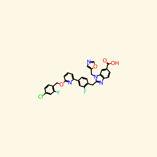 O=C(O)c1ccc2nc(Cc3ccc(-c4cccc(OCc5ccc(Cl)cc5F)n4)cc3F)n(Cc3cnco3)c2c1